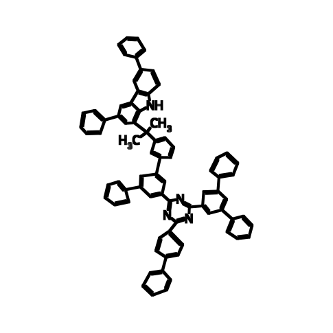 CC(C)(c1cccc(-c2cc(-c3ccccc3)cc(-c3nc(-c4ccc(-c5ccccc5)cc4)nc(-c4cc(-c5ccccc5)cc(-c5ccccc5)c4)n3)c2)c1)c1cc(-c2ccccc2)cc2c1[nH]c1ccc(-c3ccccc3)cc12